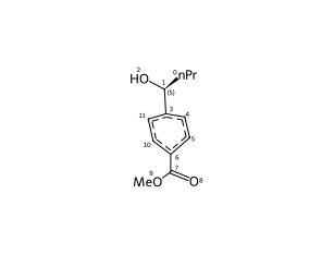 CCC[C@H](O)c1ccc(C(=O)OC)cc1